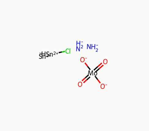 [Cl][SnH+2].[NH2-].[NH2-].[O]=[Mo](=[O])([O-])[O-].[Sn+2]